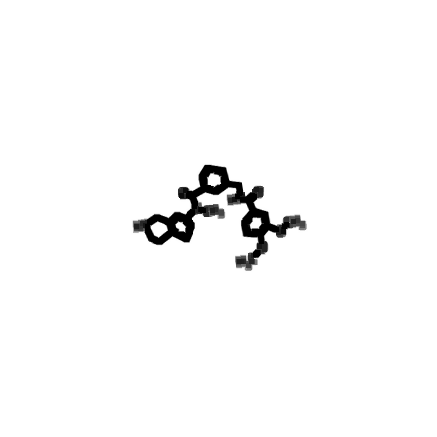 COc1ccc(C(=O)NCc2cccc(C(=O)N(C)c3ccc4c(c3)CNCC4)c2)cc1OC